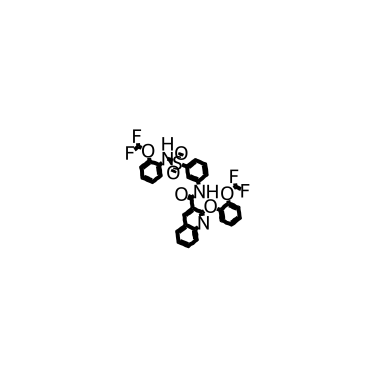 O=C(Nc1cccc(S(=O)(=O)Nc2ccccc2OC(F)F)c1)c1cc2ccccc2nc1Oc1ccccc1OC(F)F